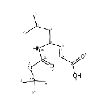 CC(C)CC(C=CC(=O)O)NC(=O)OC(C)(C)C